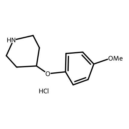 COc1ccc(OC2CCNCC2)cc1.Cl